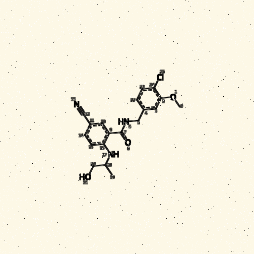 COc1cc(CNC(=O)c2cc(C#N)ccc2NC(C)CO)ccc1Cl